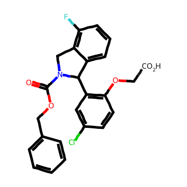 O=C(O)COc1ccc(Cl)cc1C1c2cccc(F)c2CN1C(=O)OCc1ccccc1